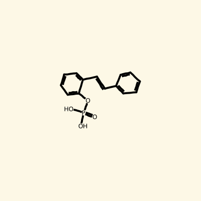 O=P(O)(O)Oc1ccccc1C=Cc1ccccc1